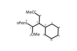 CCCCCC(OC)C(COC)C1CCCCC1